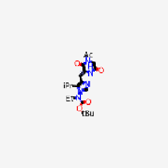 CCN(C(=O)OC(C)(C)C)n1cnc(/C=C2\NC(=O)CN(C(C)=O)C2=O)c1C(C)C